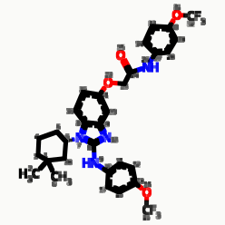 CC1(C)CCC[C@H](n2c(Nc3ccc(OC(F)(F)F)cc3)nc3cc(OCC(=O)Nc4ccc(OC(F)(F)F)cc4)ccc32)C1